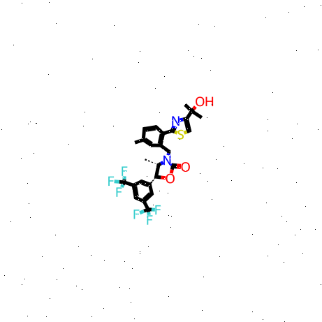 Cc1ccc(-c2nc(C(C)(C)O)cs2)c(CN2C(=O)O[C@H](c3cc(C(F)(F)F)cc(C(F)(F)F)c3)[C@@H]2C)c1